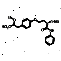 CCCCCCN(CCOc1ccc(CC(OCC)C(=O)O)cc1)C(=O)Nc1ccccc1